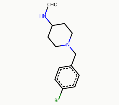 O=CNC1CCN(Cc2ccc(Br)cc2)CC1